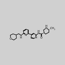 C[C@@H]1CC[C@@H](C(=O)Nc2cc(-c3cccc(NCC4CCOCC4)n3)ccn2)CN1